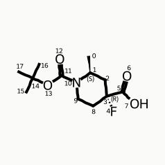 C[C@H]1C[C@@](F)(C(=O)O)CCN1C(=O)OC(C)(C)C